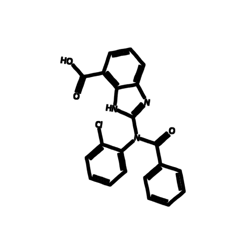 O=C(O)c1cccc2nc(N(C(=O)c3ccccc3)c3ccccc3Cl)[nH]c12